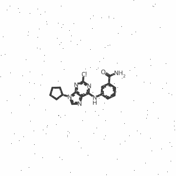 NC(=O)c1cccc(Nc2nc(Cl)nc3c2ncn3C2CCCC2)c1